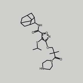 CC(C)Sc1c(OCC(C)(C)C(=O)N2CCNCC2)noc1C(=O)NC1C2CC3CC(C2)CC1C3